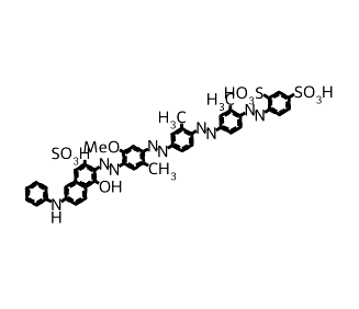 COc1cc(N=Nc2ccc(N=Nc3ccc(N=Nc4ccc(S(=O)(=O)O)cc4S(=O)(=O)O)c(C)c3)c(C)c2)c(C)cc1N=Nc1c(S(=O)(=O)O)cc2cc(Nc3ccccc3)ccc2c1O